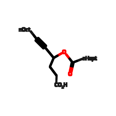 CCCCCCCCC#CC(CCC(=O)O)OC(=O)CCCCCCC